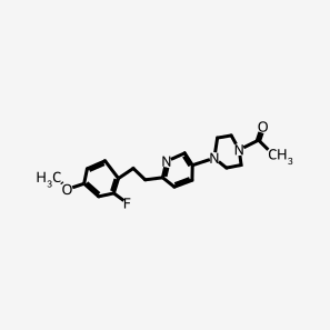 COc1ccc(CCc2ccc(N3CCN(C(C)=O)CC3)cn2)c(F)c1